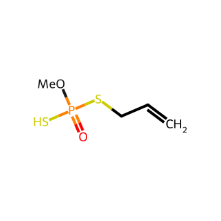 C=CCSP(=O)(S)OC